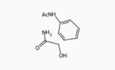 CC(=O)Nc1ccccc1.NC(=O)CO